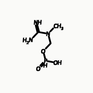 CN(CO[PH](=O)O)C(=N)N